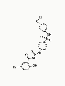 CCOc1ccc(NS(=O)(=O)c2ccc(NC(=S)NC(=O)c3cc(Br)ccc3O)cc2)cc1